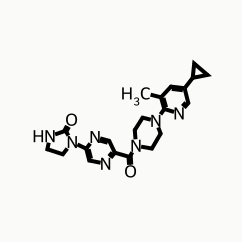 Cc1cc(C2CC2)cnc1N1CCN(C(=O)c2cnc(N3CCNC3=O)cn2)CC1